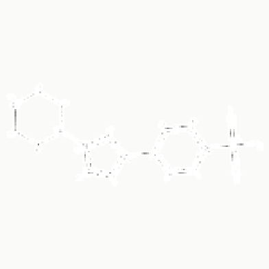 CS(=O)(=O)c1ccc(-c2cnn(C3CC[N]CC3)c2)cc1